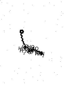 C[C@@H](OP(=O)(O)OCCCCCCCCc1ccccc1)[C@H](NC(=O)[C@H](CO)NC(=O)[C@@H](N)Cc1cnc[nH]1)C(N)=O